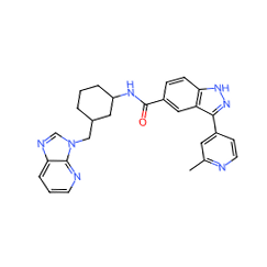 Cc1cc(-c2n[nH]c3ccc(C(=O)NC4CCCC(Cn5cnc6cccnc65)C4)cc23)ccn1